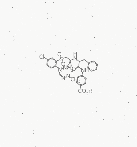 C=N/N=C\N(N)c1ccc(Cl)cc1S(=O)(=O)CC(=O)N[C@@H](Cc1ccccc1)C(=O)Nc1ccc(C(=O)O)cc1